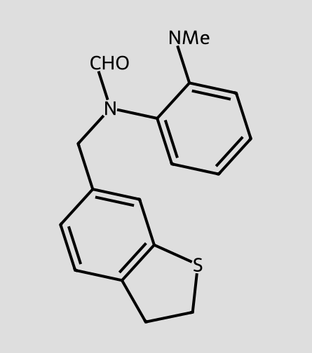 CNc1ccccc1N(C=O)Cc1ccc2c(c1)SCC2